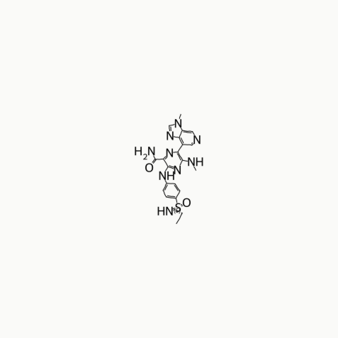 CC[S@](=N)(=O)c1ccc(Nc2nc(NC)c(-c3cncc4c3ncn4C)nc2C(N)=O)cc1